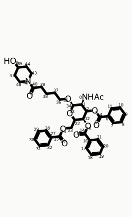 CC(=O)N[C@H]1C(OC(=O)c2ccccc2)[C@@H](OC(=O)c2ccccc2)C(COC(=O)c2ccccc2)O[C@H]1OCCCCC(=O)N1CCC(O)CC1